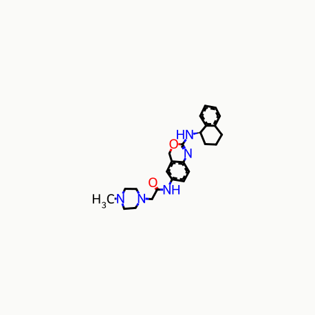 CN1CCN(CC(=O)Nc2ccc3c(c2)COC(N[C@@H]2CCCc4ccccc42)=N3)CC1